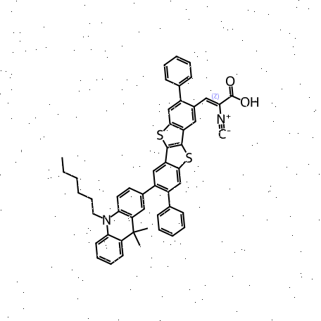 [C-]#[N+]/C(=C\c1cc2c(cc1-c1ccccc1)sc1c3cc(-c4ccc5c(c4)C(C)(C)c4ccccc4N5CCCCCC)c(-c4ccccc4)cc3sc21)C(=O)O